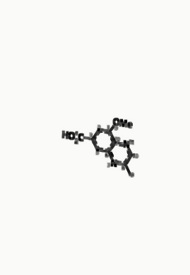 COc1cc(C(=O)O)cc2nc(C)cnc12